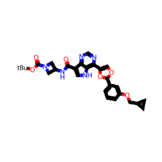 CC(C)(C)OC(=O)N1CC(NC(=O)c2c[nH]c3c(C4=COC(c5cccc(OCC6CC6)c5)O4)ncnc23)C1